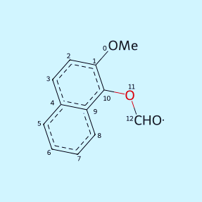 COc1ccc2ccccc2c1O[C]=O